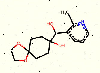 Cc1ncccc1C(O)C1(O)CCC2(CC1)OCCO2